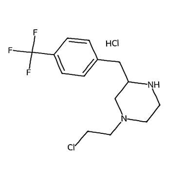 Cl.FC(F)(F)c1ccc(CC2CN(CCCl)CCN2)cc1